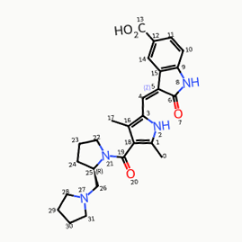 Cc1[nH]c(/C=C2\C(=O)Nc3ccc(C(=O)O)cc32)c(C)c1C(=O)N1CCC[C@@H]1CN1CCCC1